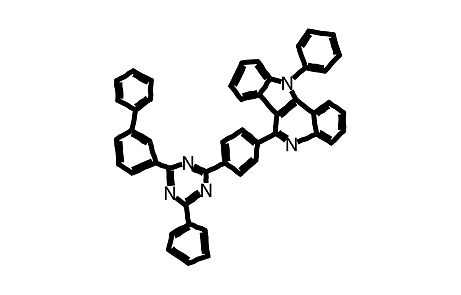 c1ccc(-c2cccc(-c3nc(-c4ccccc4)nc(-c4ccc(-c5nc6ccccc6c6c5c5ccccc5n6-c5ccccc5)cc4)n3)c2)cc1